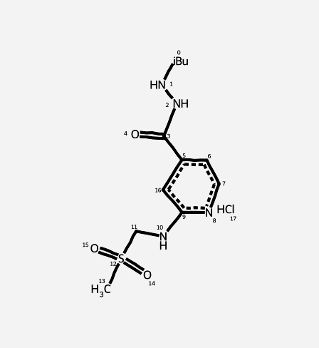 CCC(C)NNC(=O)c1ccnc(NCS(C)(=O)=O)c1.Cl